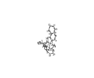 [2H]C(N[S+]([O-])C(C)(C)C)(c1ccc2ccccc2c1)C1(C(C)=O)SCCS1